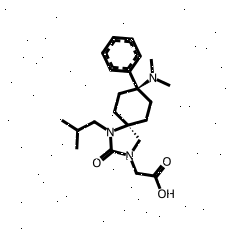 CC(C)CN1C(=O)N(CC(=O)O)C[C@]12CC[C@](c1ccccc1)(N(C)C)CC2